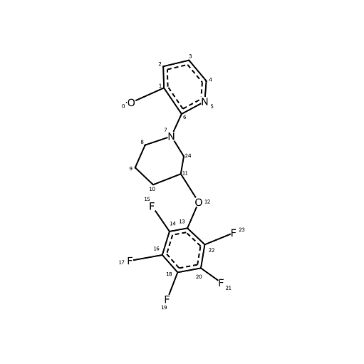 [O]c1cccnc1N1CCCC(Oc2c(F)c(F)c(F)c(F)c2F)C1